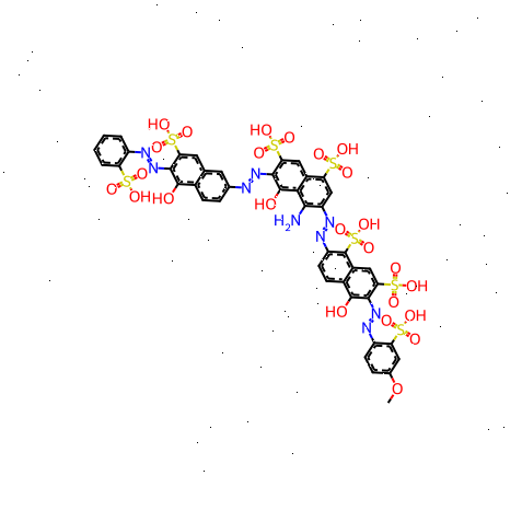 COc1ccc(N=Nc2c(S(=O)(=O)O)cc3c(S(=O)(=O)O)c(N=Nc4cc(S(=O)(=O)O)c5cc(S(=O)(=O)O)c(N=Nc6ccc7c(O)c(N=Nc8ccccc8S(=O)(=O)O)c(S(=O)(=O)O)cc7c6)c(O)c5c4N)ccc3c2O)c(S(=O)(=O)O)c1